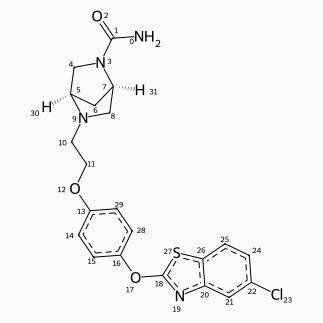 NC(=O)N1C[C@H]2C[C@@H]1CN2CCOc1ccc(Oc2nc3cc(Cl)ccc3s2)cc1